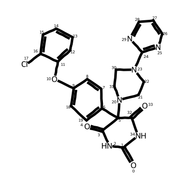 O=C1NC(=O)C(c2ccc(Oc3ccccc3Cl)cc2)(N2CCN(c3ncccn3)CC2)C(=O)N1